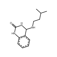 CC(C)CCNC1NC(=O)Nc2ccccc21